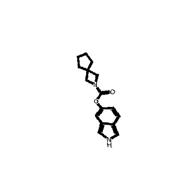 O=C(Oc1ccc2c[nH]cc2c1)N1CC2(CCCC2)C1